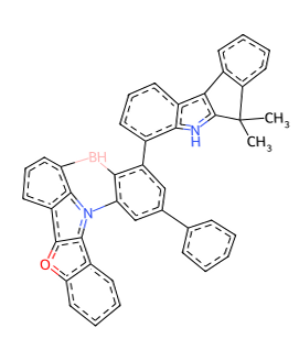 CC1(C)c2ccccc2-c2c1[nH]c1c(-c3cc(-c4ccccc4)cc4c3Bc3cccc5c6oc7ccccc7c6n-4c35)cccc21